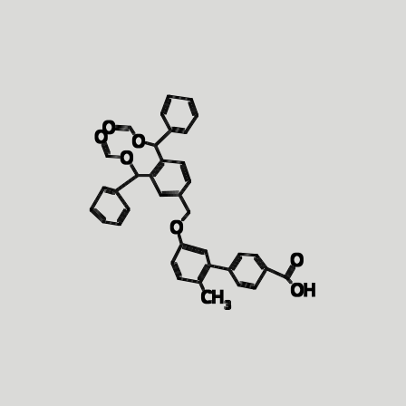 Cc1ccc(OCc2ccc(C(OC=O)c3ccccc3)c(C(OC=O)c3ccccc3)c2)cc1-c1ccc(C(=O)O)cc1